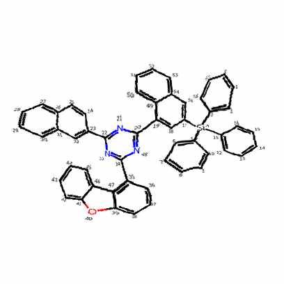 c1ccc([Si](c2ccccc2)(c2ccccc2)c2cc(-c3nc(-c4ccc5ccccc5c4)nc(-c4cccc5oc6ccccc6c45)n3)c3ccccc3c2)cc1